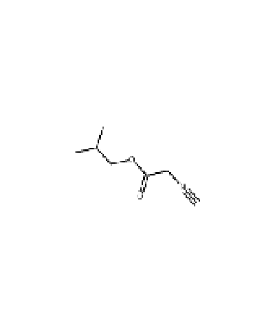 C#[N+]CC(=O)OCC(C)C